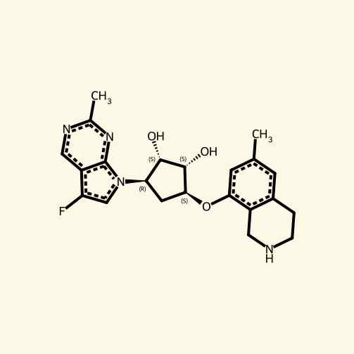 Cc1cc2c(c(O[C@H]3C[C@@H](n4cc(F)c5cnc(C)nc54)[C@H](O)[C@@H]3O)c1)CNCC2